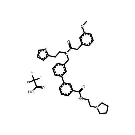 COc1cccc(CC(=O)N(CCc2cccs2)Cc2cccc(-c3cccc(C(=O)NCCN4CCCC4)c3)c2)c1.O=C(O)C(F)(F)F